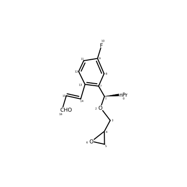 CCC[C@@H](OCC1CO1)c1cc(F)ccc1/C=C/C=O